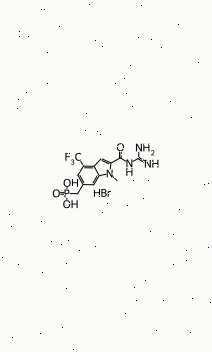 Br.Cn1c(C(=O)NC(=N)N)cc2c(C(F)(F)F)cc(CP(=O)(O)O)cc21